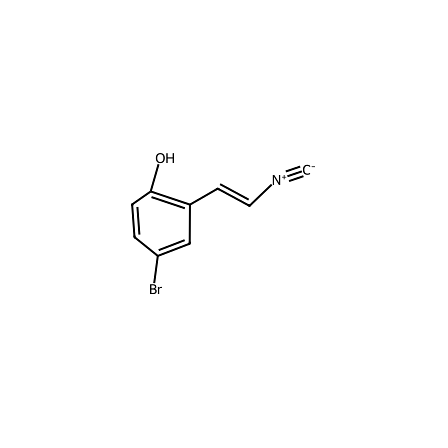 [C-]#[N+]/C=C/c1cc(Br)ccc1O